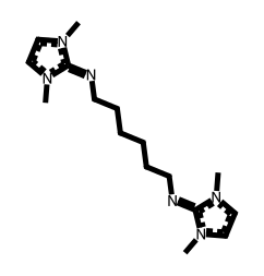 Cn1ccn(C)c1=NCCCCCCN=c1n(C)ccn1C